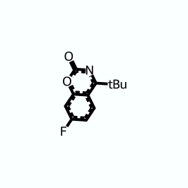 CC(C)(C)c1nc(=O)oc2cc(F)ccc12